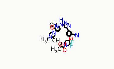 COc1nc(Nc2cc(-c3ccc(OC4CCN(C(=O)C(C)O)CC4(F)F)c(C#N)c3)ncn2)ccc1N1CCN(C)[C@H](C)C1